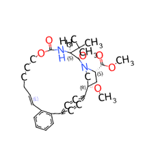 COC(=O)[C@@H]1C[C@]2(OC)CN1C(=O)[C@H](C(C)(C)C)NC(=O)OCCCC/C=C/c1ccccc1-c1ccc2cc1